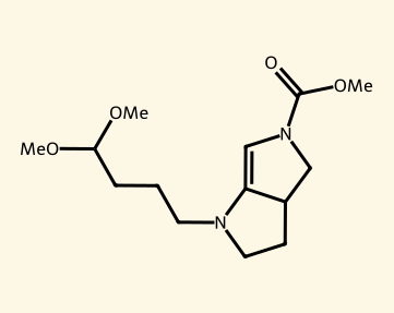 COC(=O)N1C=C2C(CCN2CCCC(OC)OC)C1